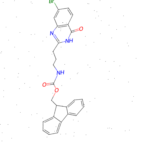 O=C(NCCCc1nc2cc(Br)ccc2c(=O)[nH]1)OCC1c2ccccc2-c2ccccc21